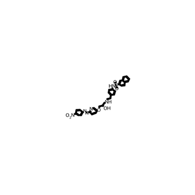 O=[N+]([O-])c1ccc(N=Nc2ccc(OCC(O)CNCCc3ccc(NS(=O)(=O)c4ccc5ccccc5c4)cc3)cn2)cc1